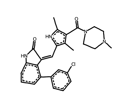 Cc1[nH]c(C=C2C(=O)Nc3cccc(-c4cccc(Cl)c4)c32)c(C)c1C(=O)N1CCN(C)CC1